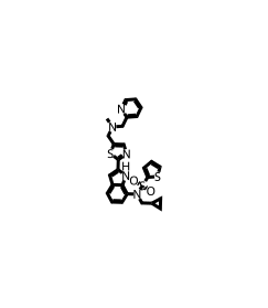 CN(Cc1ccccn1)Cc1cnc(-c2cc3cccc(N(CC4CC4)S(=O)(=O)c4cccs4)c3[nH]2)s1